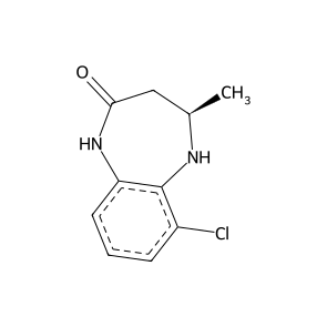 C[C@@H]1CC(=O)Nc2cccc(Cl)c2N1